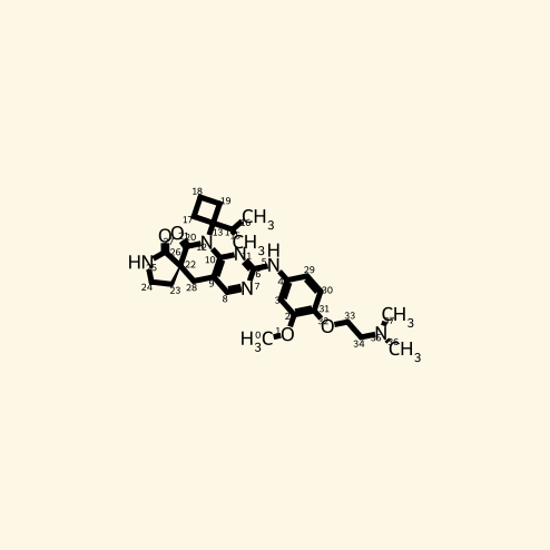 COc1cc(Nc2ncc3c(n2)N(C2(C(C)C)CCC2)C(=O)[C@]2(CCNC2=O)C3)ccc1OCCN(C)C